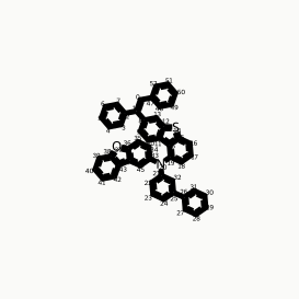 C(=C(\c1ccccc1)c1ccc2c(c1)sc1cccc(N(c3cccc(-c4ccccc4)c3)c3ccc4oc5ccccc5c4c3)c12)/c1ccccc1